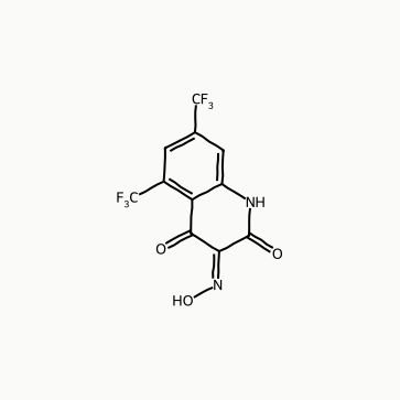 O=C1Nc2cc(C(F)(F)F)cc(C(F)(F)F)c2C(=O)C1=NO